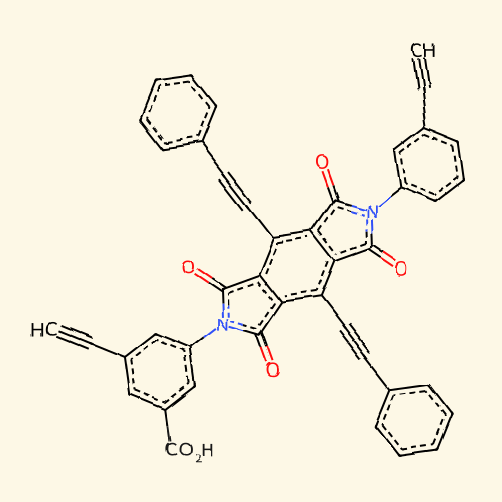 C#Cc1cccc(-n2c(=O)c3c(C#Cc4ccccc4)c4c(=O)n(-c5cc(C#C)cc(C(=O)O)c5)c(=O)c4c(C#Cc4ccccc4)c3c2=O)c1